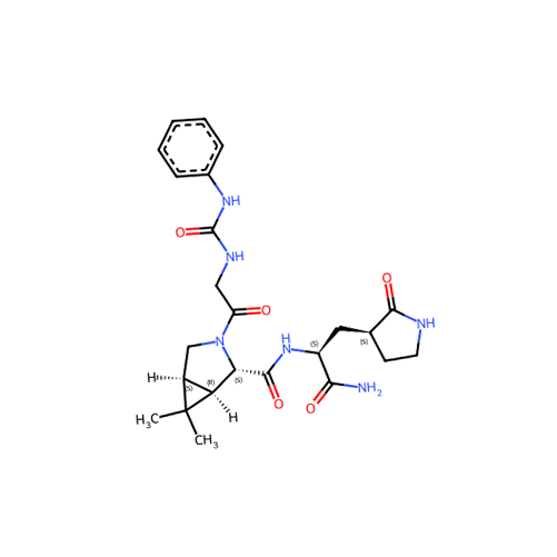 CC1(C)[C@@H]2[C@@H](C(=O)N[C@@H](C[C@@H]3CCNC3=O)C(N)=O)N(C(=O)CNC(=O)Nc3ccccc3)C[C@@H]21